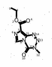 CCOC(=O)c1ncn2c(=O)n(C)nnc12